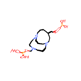 OP(O)OCC1CCCN2CCCN(CCCN(COP(O)O)CC2)CC1